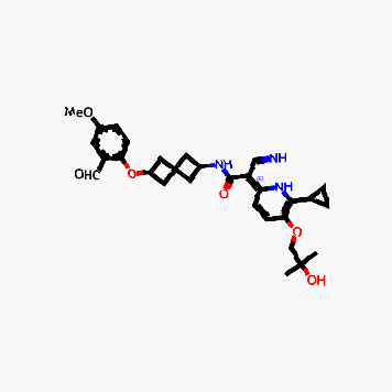 COc1ccc(OC2CC3(CC(NC(=O)/C(C=N)=C4\C=CC(OCC(C)(C)O)=C(C5CC5)N4)C3)C2)c(C=O)c1